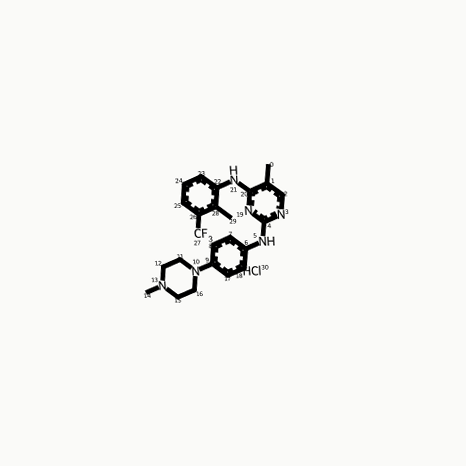 Cc1cnc(Nc2ccc(N3CCN(C)CC3)cc2)nc1Nc1cccc(C(F)(F)F)c1C.Cl